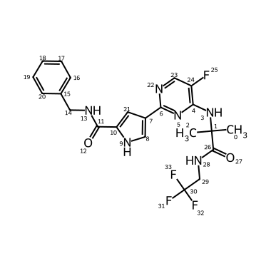 CC(C)(Nc1nc(-c2c[nH]c(C(=O)NCc3ccccc3)c2)ncc1F)C(=O)NCC(F)(F)F